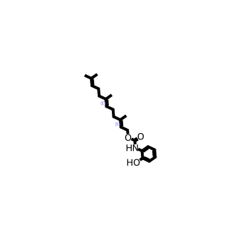 CC(C)=CCC/C(C)=C/CC/C(C)=C/COC(=O)Nc1ccccc1O